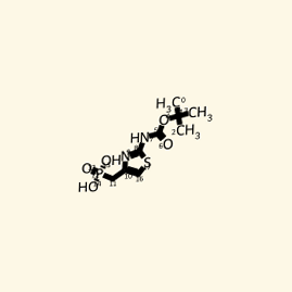 CC(C)(C)OC(=O)Nc1nc(CP(=O)(O)O)cs1